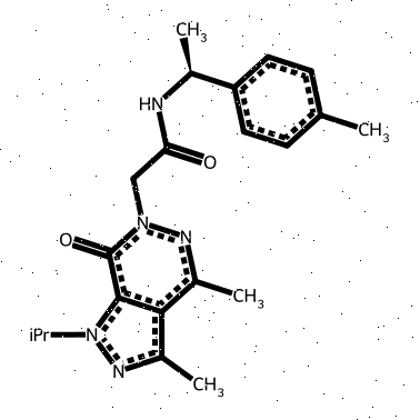 Cc1ccc([C@H](C)NC(=O)Cn2nc(C)c3c(C)nn(C(C)C)c3c2=O)cc1